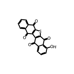 O=c1c2ccccc2c(=O)c2c1sc1c(=O)c3c(O)cccc3c(=O)c12